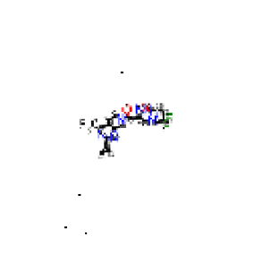 N[C@@H](CC(=O)N1CCc2c(nc(C3CC3)nc2C(F)(F)F)C1)CN1CC(F)(F)CCC1=O